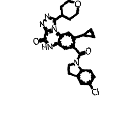 O=C(c1cc2[nH]c(=O)c3nnc(C4CCOCC4)n3c2cc1C1CC1)N1CCc2cc(Cl)ccc21